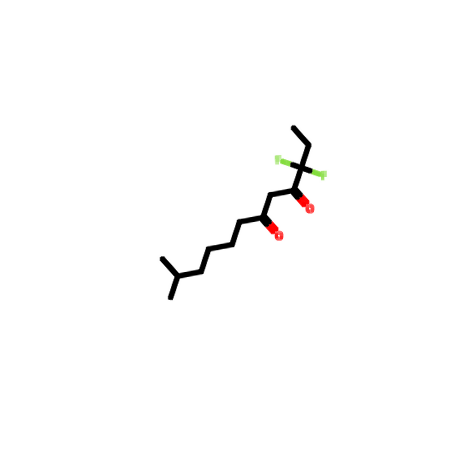 CCC(F)(F)C(=O)CC(=O)CCCCC(C)C